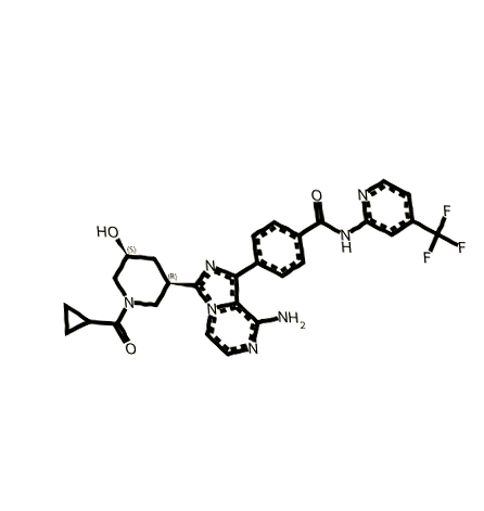 Nc1nccn2c([C@@H]3C[C@H](O)CN(C(=O)C4CC4)C3)nc(-c3ccc(C(=O)Nc4cc(C(F)(F)F)ccn4)cc3)c12